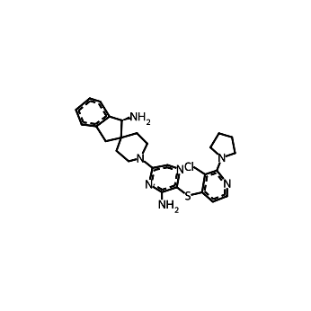 Nc1nc(N2CCC3(CC2)Cc2ccccc2[C@H]3N)cnc1Sc1ccnc(N2CCCC2)c1Cl